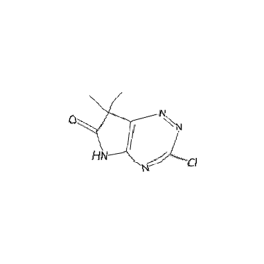 CC1(C)C(=O)Nc2nc(Cl)nnc21